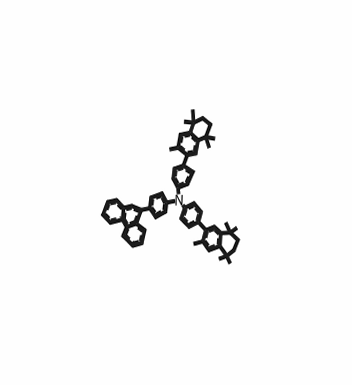 Cc1cc2c(cc1-c1ccc(N(c3ccc(-c4cc5c(cc4C)C(C)(C)CCC5(C)C)cc3)c3ccc(-c4cc5ccccc5c5ccccc45)cc3)cc1)C(C)(C)CCC2(C)C